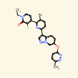 CC(=O)c1ccc(-c2cnn3cc(Oc4ccc(C)nn4)ccc23)nc1-c1ccn(CC(F)(F)F)c(=O)c1F